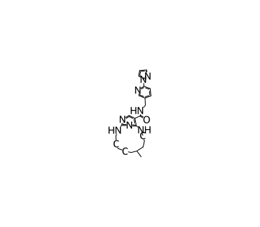 CC1CCCCCNc2ncc(C(=O)NCc3ccc(-n4cccn4)nc3)c(n2)NCCC1